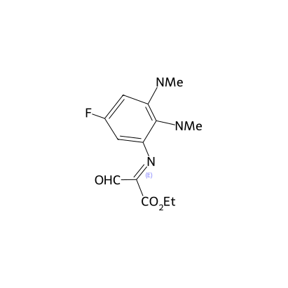 CCOC(=O)/C(C=O)=N/c1cc(F)cc(NC)c1NC